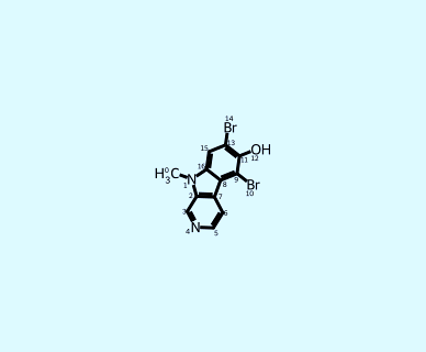 Cn1c2cnccc2c2c(Br)c(O)c(Br)cc21